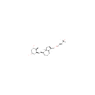 C=C1C(=CC=C2CCC[C@]3(C)C(COC/C=C/C(O)(CC)CC)=CC[C@@H]23)C[C@@H](O)C[C@@H]1O